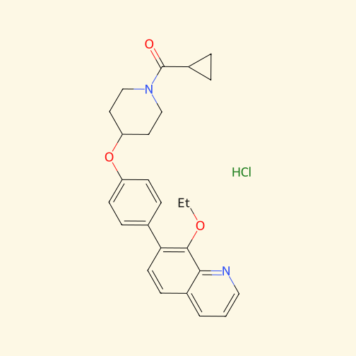 CCOc1c(-c2ccc(OC3CCN(C(=O)C4CC4)CC3)cc2)ccc2cccnc12.Cl